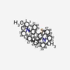 Cc1cccc(N(c2ccccc2C)c2cc3c(c4ccccc24)-c2c(cc(N(c4ccccc4C)c4ccccc4C)c4c2sc2ccccc24)C3(c2ccccc2)c2ccccc2)c1